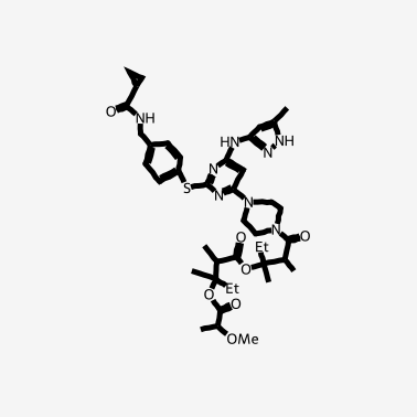 CCC(C)(OC(=O)C(C)OC)C(C)C(=O)OC(C)(CC)C(C)C(=O)N1CCN(c2cc(Nc3cc(C)[nH]n3)nc(Sc3ccc(CNC(=O)C4CC4)cc3)n2)CC1